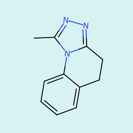 Cc1nnc2n1-c1ccccc1CC2